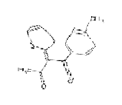 CC(=O)C(C(=O)c1ccc(C)cc1)=C1SC=CS1